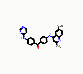 COc1ccc2nc(C)cc(Nc3ccc(C(=O)c4ccc(Nc5ccncn5)cc4)cc3)c2c1